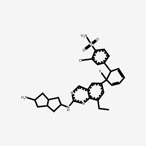 CCc1cc(C2(F)C=CC=CC2c2ccc(S(N)(=O)=O)c(Cl)c2)cc2cnc(NC3CC4CC(N)CC4C3)nc12